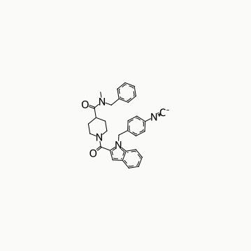 [C-]#[N+]c1ccc(Cn2c(C(=O)N3CCC(C(=O)N(C)Cc4ccccc4)CC3)cc3ccccc32)cc1